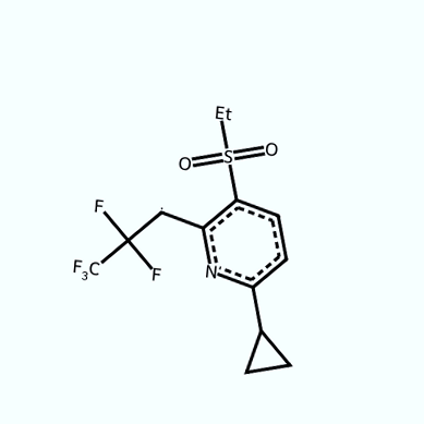 CCS(=O)(=O)c1ccc(C2CC2)nc1[CH]C(F)(F)C(F)(F)F